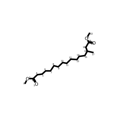 COC(=O)CCCCCCCCCCCCC(C)CC(=O)OC